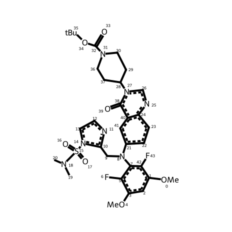 COc1cc(OC)c(F)c(N(Cc2nccn2S(=O)(=O)N(C)C)c2ccc3ncn(C4CCN(C(=O)OC(C)(C)C)CC4)c(=O)c3c2)c1F